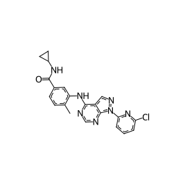 Cc1ccc(C(=O)NC2CC2)cc1Nc1ncnc2c1cnn2-c1cccc(Cl)n1